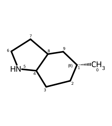 C[C@@H]1CCC2NCCC2C1